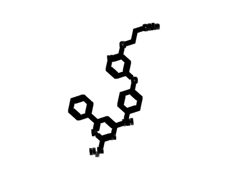 COCCOc1cc(Oc2ccc(Nc3cc(-c4ccccc4)nc(N)n3)cc2)ccn1